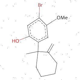 C=C1CCCCC1(C)c1cc(OC)c(Br)cc1O